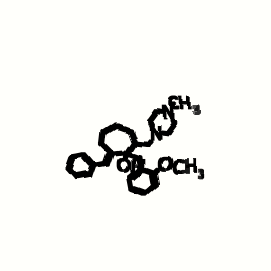 COc1ccccc1CC1(O)C(=Cc2ccccc2)CCCCC1CN1CCN(C)CC1